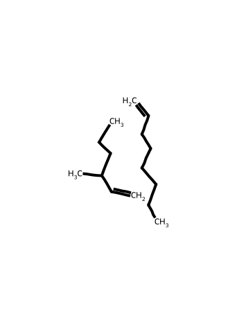 C=CC(C)CCC.C=CCCCCCC